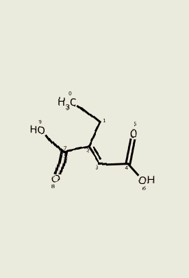 CC/C(=C\C(=O)O)C(=O)O